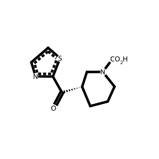 O=C(c1nccs1)[C@H]1CCCN(C(=O)O)C1